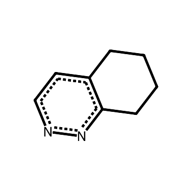 c1cc2c(nn1)CCCC2